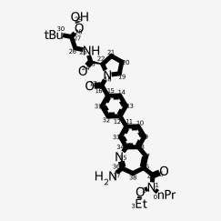 CCCN(OCC)C(=O)C1=Cc2ccc(-c3ccc(C(=O)N4CCC[C@@H]4C(=O)NCC(OO)C(C)(C)C)cc3)cc2N=C(N)C1